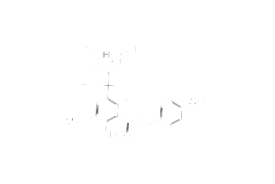 COc1cc(C(C)(C)C(O[SiH2]C)O[SiH2]C)c(C)c(C(=O)OCc2ccc([N+](=O)[O-])cc2)c1C